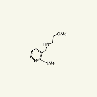 CNc1ncccc1CNCCOC